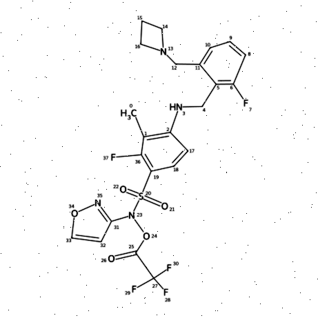 Cc1c(NCc2c(F)cccc2CN2CCC2)ccc(S(=O)(=O)N(OC(=O)C(F)(F)F)c2ccon2)c1F